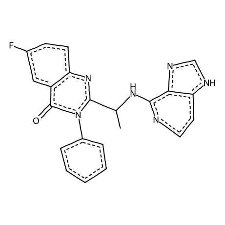 CC(Nc1nccc2[nH]cnc12)c1nc2ccc(F)cc2c(=O)n1-c1ccccc1